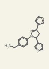 NCc1ccc(N2N=C(c3ccsc3)CC2c2ccsc2)cc1